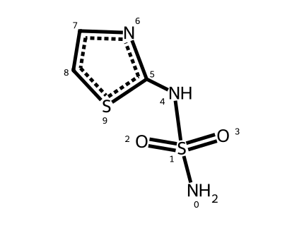 NS(=O)(=O)Nc1nccs1